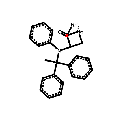 CC(c1ccccc1)(c1ccccc1)N(c1ccccc1)C1(C(N)=O)CNC1